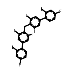 Fc1ccc(-c2cc(I)c(Cc3c(I)cc(-c4ccc(F)cc4I)cc3I)c(I)c2)c(I)c1